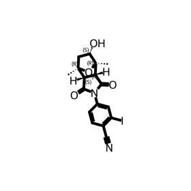 C[C@]12O[C@](C)(C[C@@H]1O)[C@H]1C(=O)N(c3ccc(C#N)c(I)c3)C(=O)[C@H]12